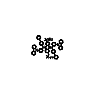 CCCCC(C)(C)c1ccc2c(N(c3ccc(-c4ccccc4)cc3)c3cccc(-n4c5ccccc5c5ccccc54)c3)c3cc(CC(C)(C)CCC)ccc3c(N(c3ccc(-c4ccccc4)cc3)c3cccc(-n4c5ccccc5c5ccccc54)c3)c2c1